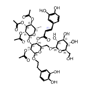 CC(=O)O[C@@H]1[C@@H](OC(C)=O)[C@H](C)O[C@@H](O[C@@H]2[C@@H](OC(C)=O)[C@H](OCCc3ccc(O)c(O)c3)O[C@H](CO[C@@H]3O[C@H](CO)[C@@H](O)[C@H](O)[C@H]3O)[C@H]2OC(=O)/C=C/c2ccc(O)c(O)c2)[C@@H]1OC(C)=O